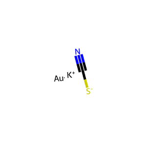 N#C[S-].[Au].[K+]